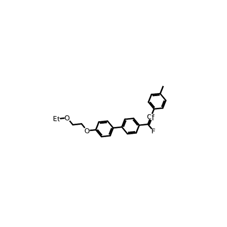 CCOCCOc1ccc(-c2ccc([C](F)=[Cf][c]3ccc(C)cc3)cc2)cc1